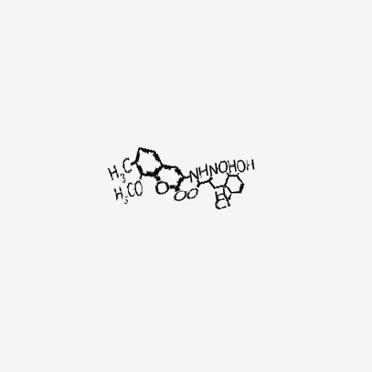 COc1c(C)ccc2cc(NC(=O)C3=NO[C@@H]4[C@H](C3)[C@H](Cl)C=C[C@H]4O)c(=O)oc12